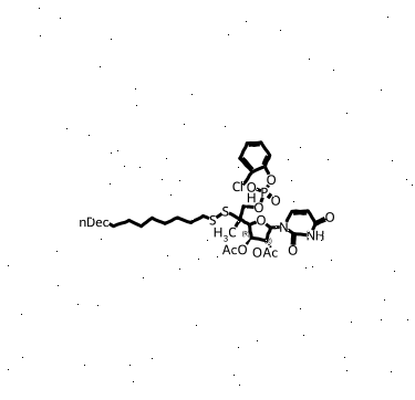 CCCCCCCCCCCCCCCCCCSSC(C)(COP(=O)(O)Oc1ccccc1Cl)C1OC(n2ccc(=O)[nH]c2=O)[C@H](OC(C)=O)[C@H]1OC(C)=O